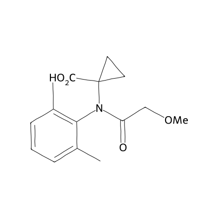 COCC(=O)N(c1c(C)cccc1C)C1(C(=O)O)CC1